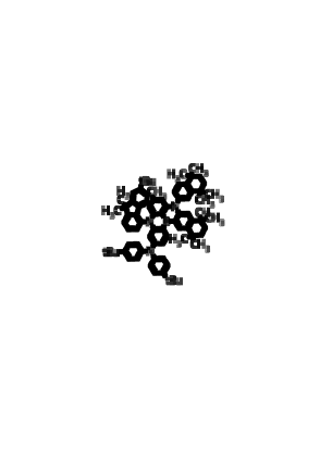 Cc1cc2c3c(c1)N(c1cccc4c1-c1ccc(C(C)(C)C)cc1C4(C)C)c1cc(N(c4ccc(C(C)(C)C)cc4)c4ccc(C(C)(C)C)cc4)ccc1B3c1cc3c(cc1N2c1ccc2c(c1)C(C)(C)CCC2(C)C)C(C)(C)CCC3(C)C